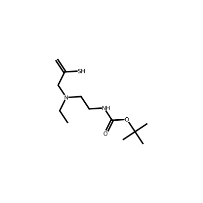 C=C(S)CN(CC)CCNC(=O)OC(C)(C)C